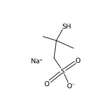 CC(C)(S)CS(=O)(=O)[O-].[Na+]